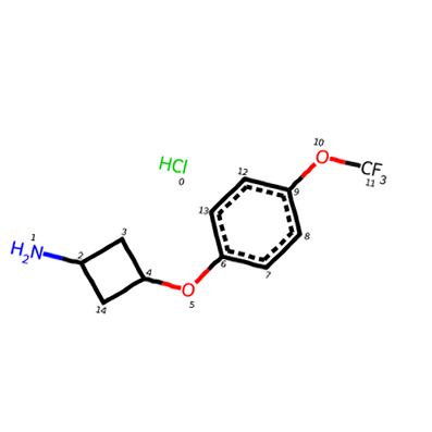 Cl.NC1CC(Oc2ccc(OC(F)(F)F)cc2)C1